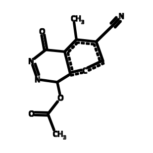 CC(=O)OC1N=NC(=O)c2c1ccc(C#N)c2C